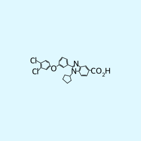 O=C(O)c1ccc2c(c1)nc(-c1cccc(Oc3ccc(Cl)c(Cl)c3)c1)n2C1CCCC1